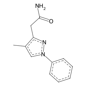 Cc1cn(-c2ccccc2)nc1CC(N)=O